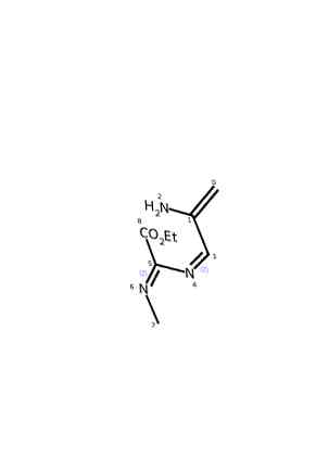 C=C(N)/C=N\C(=N/C)C(=O)OCC